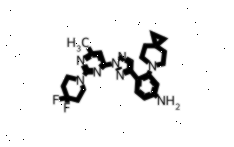 Cc1cc(-n2ncc(-c3ccc(N)cc3N3CCC4(CC3)CC4)n2)nc(N2CCC(F)(F)CC2)n1